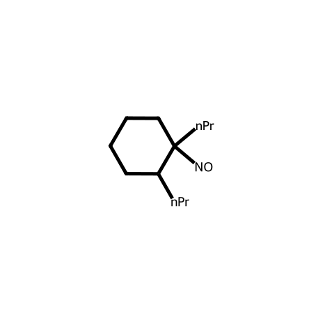 CCCC1CCCCC1(CCC)N=O